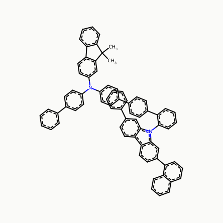 CC1(C)c2ccccc2-c2ccc(N(c3ccc(-c4ccccc4)cc3)c3ccc(-c4ccc(-c5ccccc5-n5c6cc(-c7ccccc7)ccc6c6ccc(-c7cccc8ccccc78)cc65)cc4)cc3)cc21